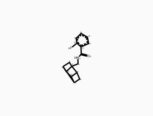 O=C(NCC12CC3C4CC1C4C32)c1ccccc1F